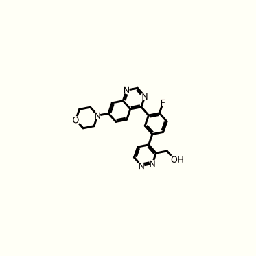 OCc1nnccc1-c1ccc(F)c(-c2ncnc3cc(N4CCOCC4)ccc23)c1